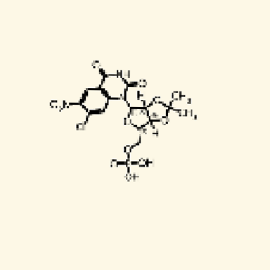 CC1(C)O[C@@H]2[C@H](O1)[C@@H](COP(=O)(O)O)O[C@H]2n1c(=O)[nH]c(=O)c2cc([N+](=O)[O-])c(Cl)cc21